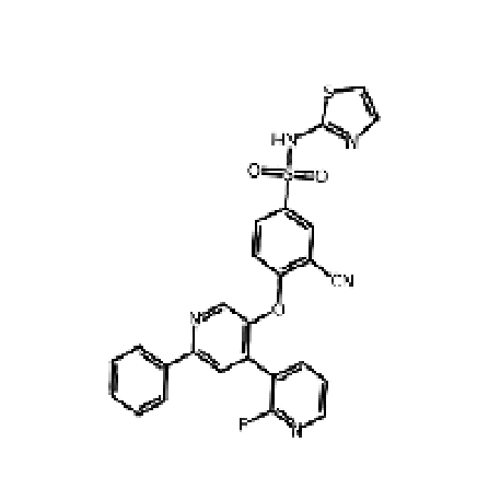 N#Cc1cc(S(=O)(=O)Nc2nccs2)ccc1Oc1cnc(-c2ccccc2)cc1-c1cccnc1F